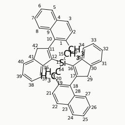 Cc1ccc2ccccc2c1C1=C([Si](C)(C)C2=C(c3c(C)ccc4ccccc34)[CH]c3ccccc32)c2ccccc2[CH]1